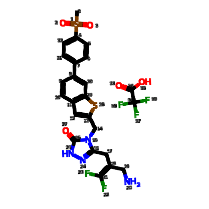 CS(=O)(=O)c1ccc(-c2ccc3cc(Cn4c(CC(CN)=C(F)F)n[nH]c4=O)sc3c2)cc1.O=C(O)C(F)(F)F